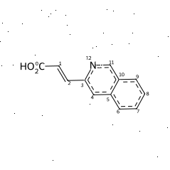 O=C(O)/C=C/c1cc2ccccc2cn1